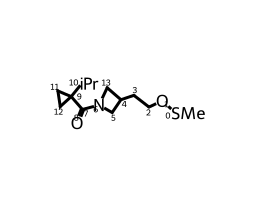 CSOCCC1CN(C(=O)C2(C(C)C)CC2)C1